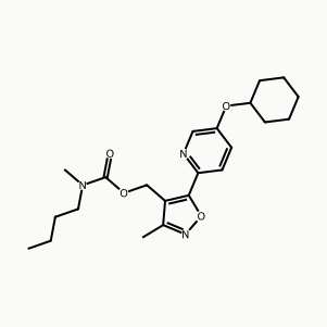 CCCCN(C)C(=O)OCc1c(C)noc1-c1ccc(OC2CCCCC2)cn1